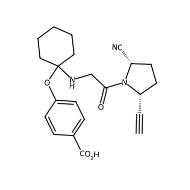 C#C[C@H]1CC[C@@H](C#N)N1C(=O)CNC1(Oc2ccc(C(=O)O)cc2)CCCCC1